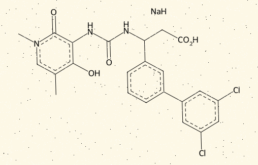 Cc1cn(C)c(=O)c(NC(=O)NC(CC(=O)O)c2cccc(-c3cc(Cl)cc(Cl)c3)c2)c1O.[NaH]